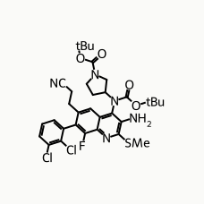 CSc1nc2c(F)c(-c3cccc(Cl)c3Cl)c(CCC#N)cc2c(N(C(=O)OC(C)(C)C)C2CCN(C(=O)OC(C)(C)C)C2)c1N